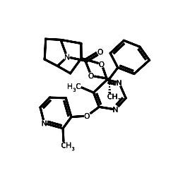 Cc1ncccc1Oc1ncnc(OC2CC3CCC(C2)N3C(=O)O[C@@H](C)c2ccccc2)c1C